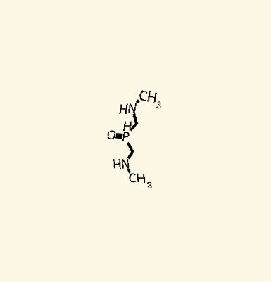 CNC[PH](=O)CNC